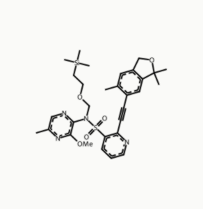 COc1nc(C)cnc1N(COCC[Si](C)(C)C)S(=O)(=O)c1cccnc1C#Cc1cc2c(cc1C)COC2(C)C